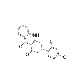 O=C1CC(c2ccc(Cl)cc2Cl)Cc2[nH]c3ccccc3c(=O)c21